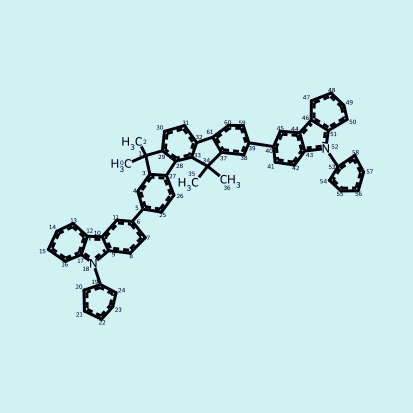 CC1(C)c2cc(-c3ccc4c(c3)c3ccccc3n4-c3ccccc3)ccc2-c2c1ccc1c2C(C)(C)c2cc(-c3ccc4c(c3)c3ccccc3n4-c3ccccc3)ccc2-1